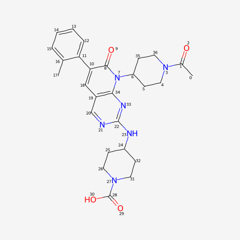 CC(=O)N1CCC(n2c(=O)c(-c3ccccc3C)cc3cnc(NC4CCN(C(=O)O)CC4)nc32)CC1